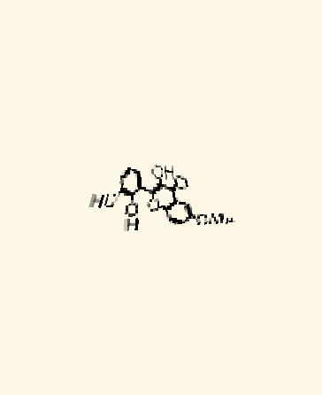 COc1ccc2oc(-c3cccc(O)c3O)c(O)c(=O)c2c1